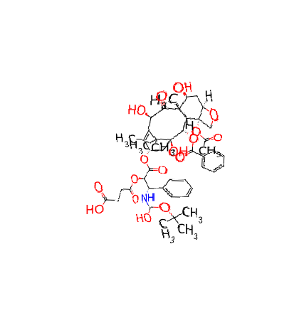 CC(=O)O[C@@]12CO[C@@H]1C[C@H](O)[C@@]1(C)C(=O)[C@H](O)C3=C(C)[C@@H](OC(=O)[C@H](OC(=O)CCC(=O)O)[C@@H](NC(O)OC(C)(C)C)c4ccccc4)C[C@@](O)([C@@H](OC(=O)c4ccccc4)[C@H]21)C3(C)C